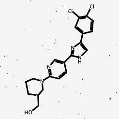 OCC1CCCN(c2ccc(-c3nc(-c4ccc(Cl)c(Cl)c4)c[nH]3)cn2)C1